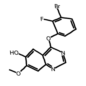 COc1cc2ncnc(Oc3cccc(Br)c3F)c2cc1O